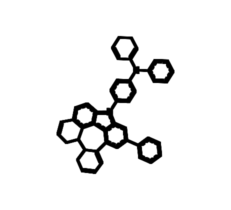 C1=CCC2C(=C1)c1cc(-c3ccccc3)cc3c1c1c4c(ccc1n3-c1ccc(N(C3=CCCC=C3)c3ccccc3)cc1)C=CCC42